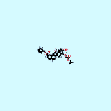 CC(C)COC(=O)COC[C@@]1(C)C2CC[C@]3(C)[C@H](C(=O)C=C4[C@@H]5C[C@@](C)(C(=O)OCc6ccccc6)CC[C@]5(C)CC[C@]43C)[C@@]2(C)CC[C@@H]1O